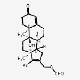 CC(=O)C1=C(COC=O)C[C@H]2[C@@H]3CCC4=CC(=O)CC[C@]4(C)[C@@]3(O)CC[C@]12C